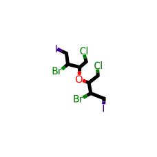 ClCC(OC(CCl)C(Br)CI)C(Br)CI